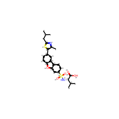 Cc1nc(CC(C)C)sc1-c1ccc2oc3cc(S(=O)(=O)N[C@H](C(=O)O)C(C)C)ccc3c2c1